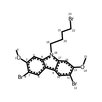 COc1cc2c(cc1Br)c1cc(Br)c(OC)cc1n2CCCCBr